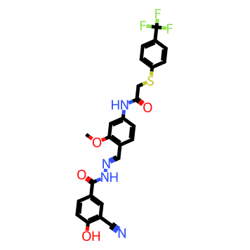 COc1cc(NC(=O)CSc2ccc(C(F)(F)F)cc2)ccc1/C=N/NC(=O)c1ccc(O)c(C#N)c1